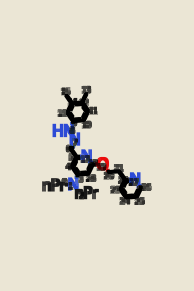 CCCN(CCC)c1cc(/C=N/Nc2ccc(C)c(C)c2)nc(OCCc2ccccn2)c1